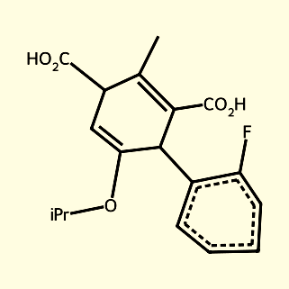 CC1=C(C(=O)O)C(c2ccccc2F)C(OC(C)C)=CC1C(=O)O